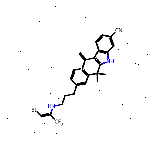 C=C1c2ccc(CCCN/C(=C\CC)C(F)(F)F)cc2C(C)(C)c2[nH]c3cc(C#N)ccc3c21